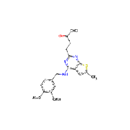 COc1ccc(CNc2nc(CCC(=O)C=O)nc3sc(C(F)(F)F)cc23)cc1OC